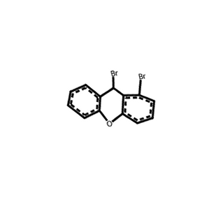 Brc1cccc2c1C(Br)c1ccccc1O2